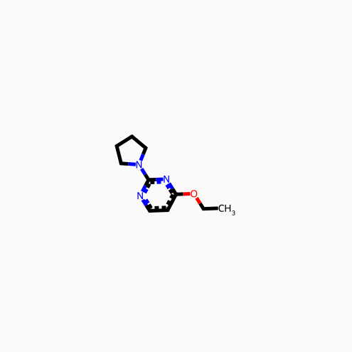 CCOc1ccnc(N2CCCC2)n1